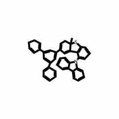 CC12CC=C(c3cc(C4=CCCC=C4)cc(-c4ccccc4)c3)C=C1c1c(cccc1-n1c3ccccc3c3ccccc31)S2